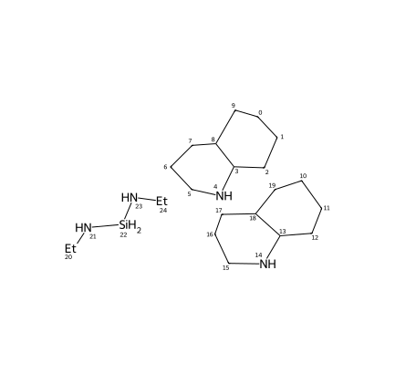 C1CCC2NCCCC2C1.C1CCC2NCCCC2C1.CCN[SiH2]NCC